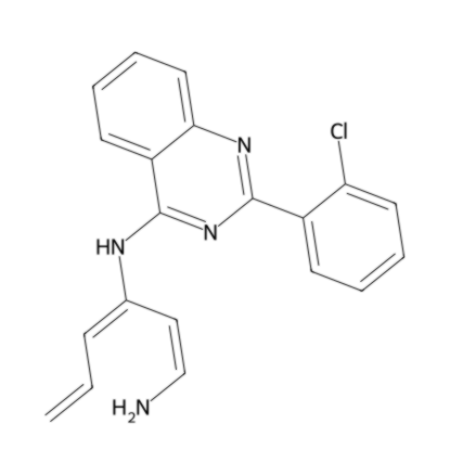 C=C/C=C(\C=C/N)Nc1nc(-c2ccccc2Cl)nc2ccccc12